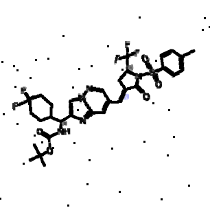 Cc1ccc(S(=O)(=O)N2C(=O)/C(=C/c3cnn4cc([C@@H](NC(=O)OC(C)(C)C)C5CCC(F)(F)CC5)nc4c3)C[C@H]2C(F)(F)F)cc1